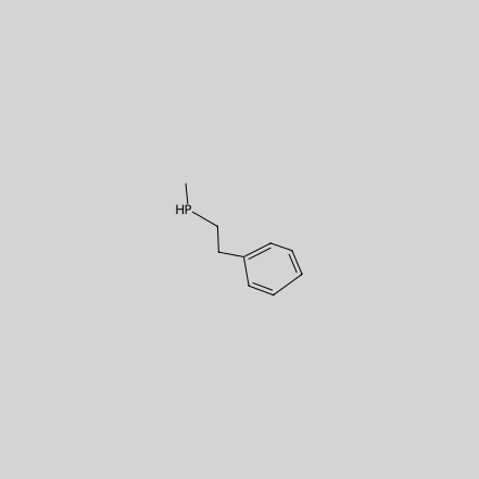 CPCCc1ccccc1